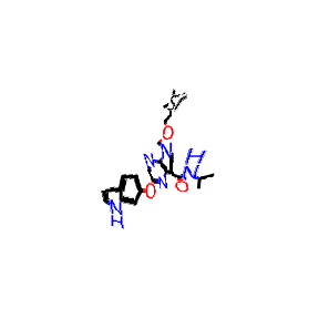 CC(C)NC(=O)c1cn(COCC[Si](C)(C)C)c2ncc(Oc3ccc4cc[nH]c4c3)nc12